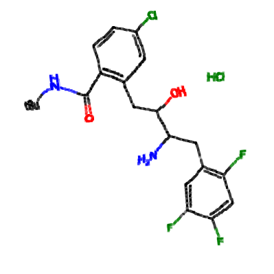 CC(C)(C)NC(=O)c1ccc(Cl)cc1CC(O)C(N)Cc1cc(F)c(F)cc1F.Cl